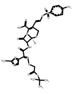 Cc1ccc(S(=O)(=O)OC=CC2=C(C(=O)O)N3C(=O)C(NC(=O)C(=NOCC(=O)OC(C)(C)C)c4csc(N)n4)[C@@H]3SC2)cc1